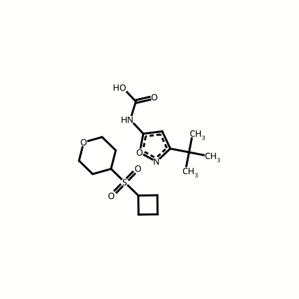 CC(C)(C)c1cc(NC(=O)O)on1.O=S(=O)(C1CCC1)C1CCOCC1